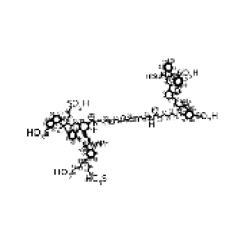 CCCCN1/C(=C/C=C2\CCCC(/C=C/C3=[N+](CCCCCC(=O)NCCCOCCOCCOCCCNC(=O)C4CC(/C=C/C5=[N+](CCCS(=O)(=O)O)c6ccc7ccc(S(=O)(=O)O)cc7c6C5(C)C)=C(c5ccccc5F)C(=C/C=C5/N(CCC)c6ccc(N(CCCS(=O)(=O)O)CCCS(=O)(=O)O)cc6C5(C)C)/C4)c4ccc(S(=O)(=O)O)cc4C3(C)C)=C2Oc2ccc(S(=O)(=O)O)cc2)C(C)(C)c2ccccc21